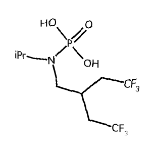 CC(C)N(CC(CC(F)(F)F)CC(F)(F)F)P(=O)(O)O